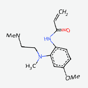 C=CC(=O)Nc1ccc(OC)cc1N(C)CCNC